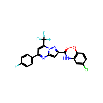 O=C(Nc1cc(Cl)ccc1O)c1cc2nc(-c3ccc(F)cc3)cc(C(F)(F)F)n2n1